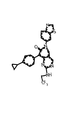 O=c1c(-c2ccc(C3CC3)cc2)c2nc(NCC(F)(F)F)ncc2cn1-c1ccc2ncsc2c1